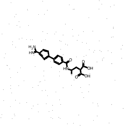 CC(CC(C(=O)O)C(=O)O)NC(=O)c1ccc(-c2ccc(C(=N)N)cc2)cc1